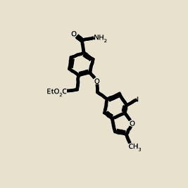 CCOC(=O)Cc1ccc(C(N)=O)cc1OCc1cc(I)c2oc(C)cc2c1